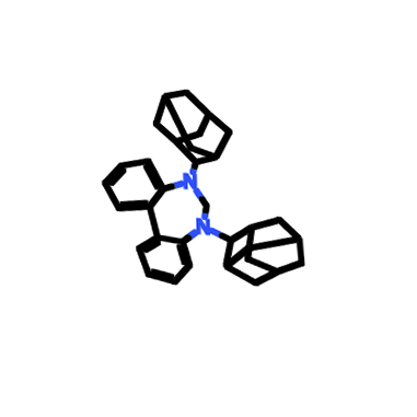 c1ccc2c(c1)-c1ccccc1N(C1C3CC4CC(C3)CC1C4)CN2C1C2CC3CC(C2)CC1C3